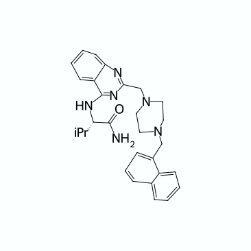 CC(C)[C@H](Nc1nc(CN2CCN(Cc3cccc4ccccc34)CC2)nc2ccccc12)C(N)=O